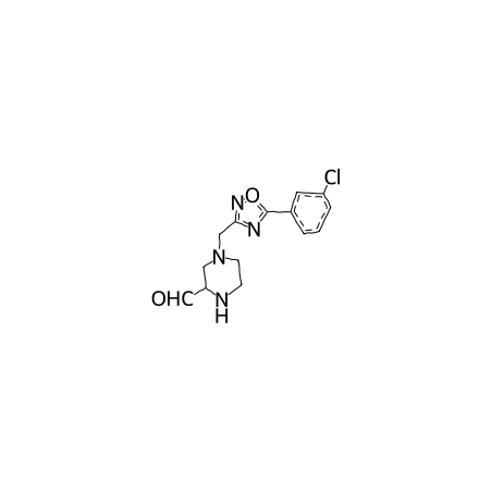 O=CC1CN(Cc2noc(-c3cccc(Cl)c3)n2)CCN1